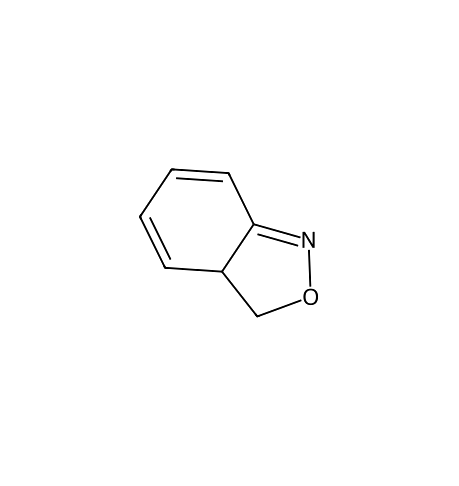 C1=CC2=NOCC2C=C1